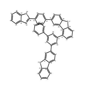 c1ccc(-c2nc(-c3ccc4c(c3)sc3ccccc34)nc(-c3cccc4sc5ccc(-c6ccc(-c7nc8ccccc8s7)cc6)cc5c34)n2)cc1